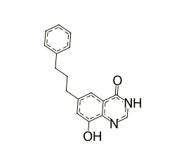 O=c1[nH]cnc2c(O)cc(CCCc3ccccc3)cc12